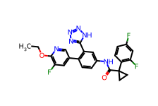 CCOc1ncc(-c2ccc(NC(=O)C3(c4ccc(F)cc4F)CC3)cc2-c2nnn[nH]2)cc1F